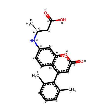 Cc1cccc(C)c1-c1cc(=O)oc2cc(N[C@H](C)CC(=O)O)ccc12